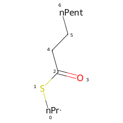 CC[CH]SC(=O)CCCCCCC